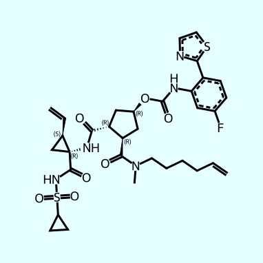 C=CCCCCN(C)C(=O)[C@@H]1C[C@H](OC(=O)Nc2cc(F)ccc2-c2nccs2)C[C@H]1C(=O)N[C@]1(C(=O)NS(=O)(=O)C2CC2)C[C@H]1C=C